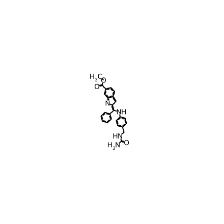 COC(=O)c1ccc2c(c1)=NC(=C(Nc1ccc(CNC(N)=O)cc1)c1ccccc1)C=2